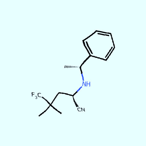 C[C@@H](N[C@@H](C#N)CC(C)(C)C(F)(F)F)c1ccccc1